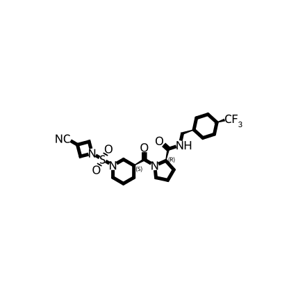 N#CC1CN(S(=O)(=O)N2CCC[C@H](C(=O)N3CCC[C@@H]3C(=O)NC[C@H]3CC[C@@H](C(F)(F)F)CC3)C2)C1